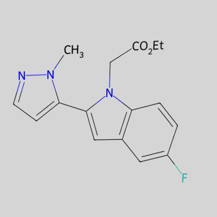 CCOC(=O)Cn1c(-c2ccnn2C)cc2cc(F)ccc21